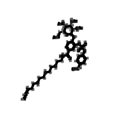 CC(=O)OC[C@H]1OC(Oc2ccc(C(=O)NCCOCCOCCOCCN=[N+]=[N-])cc2OS(=O)(=O)Oc2ccc(C=O)cc2)[C@@H](OC(C)=O)[C@@H](OC(C)=O)[C@H]1OC(C)=O